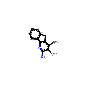 COc1c(N)nc2c(c1OC)Cc1ccccc1-2